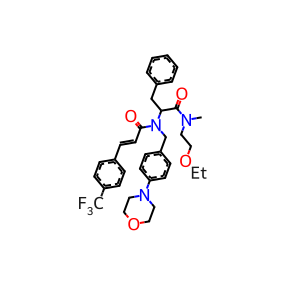 CCOCCN(C)C(=O)C(Cc1ccccc1)N(Cc1ccc(N2CCOCC2)cc1)C(=O)C=Cc1ccc(C(F)(F)F)cc1